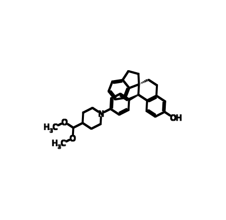 COC(OC)C1CCN(c2ccc([C@@H]3c4ccc(O)cc4CC[C@]34CCc3ccccc34)cc2)CC1